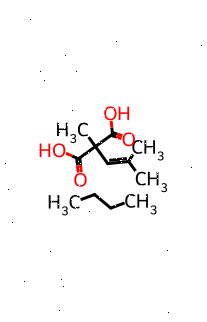 CC(C)=CC(C)(C(=O)O)C(=O)O.CCCC